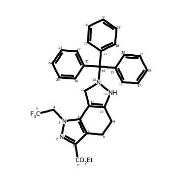 CCOC(=O)c1nn(CC(F)(F)F)c2c1CCC1=C2CN(C(c2ccccc2)(c2ccccc2)c2ccccc2)N1